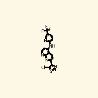 FC(F)(F)c1ccc(Nc2ccnc3nc(-c4nnsc4Cl)ccc23)nc1